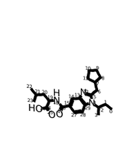 CCC(C)n1c(CC2CCCC2)nc2cc(C(=O)NC(CC(C)C)C(=O)O)ccc21